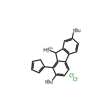 CC(C)(C)c1ccc2c(c1)[CH]([Hf+2])c1c-2ccc(C(C)(C)C)c1C1=CC=CC1.[Cl-].[Cl-]